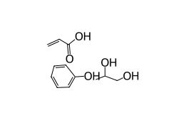 C=CC(=O)O.CC(O)CO.Oc1ccccc1